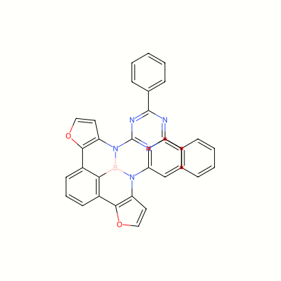 c1ccc(-c2nc(-c3ccccc3)nc(N3B4c5c(cccc5-c5occc53)-c3occc3N4c3ccccc3)n2)cc1